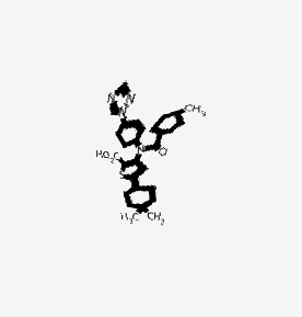 CC1CCC(C(=O)N(c2cc(C3CCC(C)(C)CC3)sc2C(=O)O)C2CCC(n3cncn3)CC2)CC1